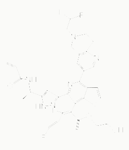 C=CC(=O)N[C@H](C)c1cc(-c2nc(-c3cnc4c(c3)CN(CC(F)F)CC4)c3ccsc3c2/C(C(=C)OCCO)=C(F)/C=C/F)n[nH]1